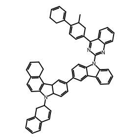 CC1CC(c2nc(-n3c4ccccc4c4cc(C5=CC6c7c(ccc8c7CCC=C8)N(C7C=Cc8ccccc8C7)C6C=C5)ccc43)nc3ccccc23)=CC=C1C1=CC=CCC1